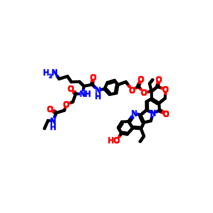 CCNC(=O)COCC(=O)NC(CCCCN)C(=O)Nc1ccc(COC(=O)OC2(CC)C(=O)OCc3c2cc2n(c3=O)Cc3c-2nc2ccc(O)cc2c3CC)cc1